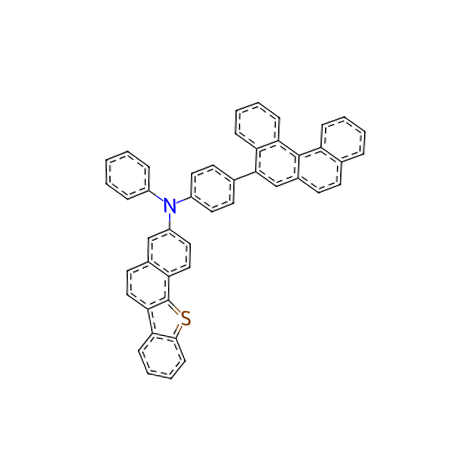 c1ccc(N(c2ccc(-c3cc4ccc5ccccc5c4c4ccccc34)cc2)c2ccc3c(ccc4c5ccccc5sc34)c2)cc1